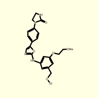 CCOCc1cc(Nc2ncc(-c3ccc(N4CCNC4=O)cc3)o2)cc(OCCOC)c1